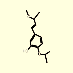 COC(C)/C=C/c1ccc(OC(C)C)c(O)c1